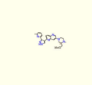 COC[C@H]1CN(c2cnc3ccc(-c4c[nH]nc4-c4cccc(C)n4)nc3c2)CCN1C